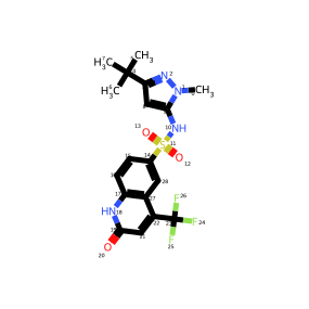 Cn1nc(C(C)(C)C)cc1NS(=O)(=O)c1ccc2[nH]c(=O)cc(C(F)(F)F)c2c1